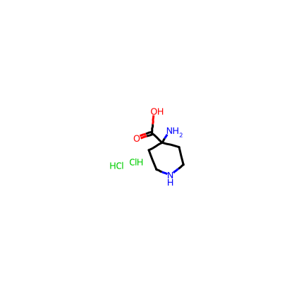 Cl.Cl.NC1(C(=O)O)CCNCC1